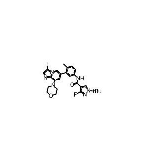 Cc1ccc(NC(=O)c2cn(C(C)(C)C)nc2F)cc1-c1cc(N2CCOCC2)c2ncc(I)n2c1